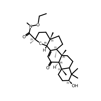 CCON(C)C(=O)[C@@]1(C)CC[C@]2(C)CC[C@]3(C)C(=CC(=O)[C@@H]4[C@@]5(C)CC[C@H](O)C(C)(C)C5CC[C@]43C)[C@@H]2C1